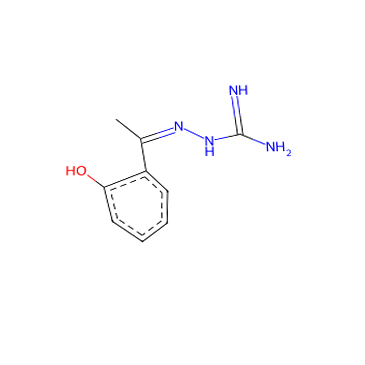 C/C(=N/NC(=N)N)c1ccccc1O